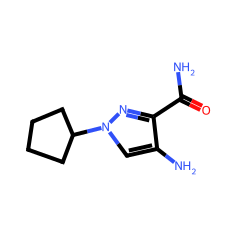 NC(=O)c1nn(C2CCCC2)cc1N